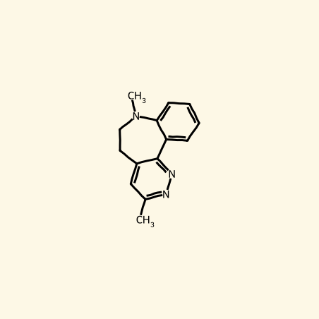 Cc1cc2c(nn1)-c1ccccc1N(C)CC2